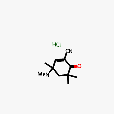 CNC1(C)C=C(C#N)C(=O)C(C)(C)C1.Cl